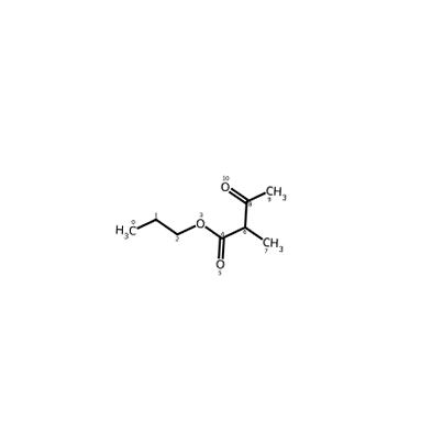 CCCOC(=O)C(C)C(C)=O